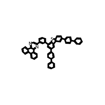 C1=CC(c2ccccc2)CC=C1c1cc(-c2cccc(-c3cnc4c5ccccc5c5ccccc5c4n3)c2)c2sc3ccc(-c4ccc(-c5ccccc5)cc4)cc3c2c1